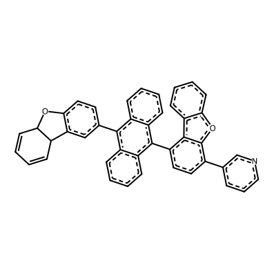 C1=CC2Oc3ccc(-c4c5ccccc5c(-c5ccc(-c6cccnc6)c6oc7ccccc7c56)c5ccccc45)cc3C2C=C1